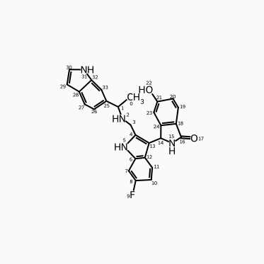 CC(NCc1[nH]c2cc(F)ccc2c1C1NC(=O)c2ccc(O)cc21)c1ccc2cc[nH]c2c1